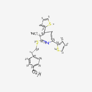 N#Cc1c(-c2cccs2)cc(-c2cccs2)nc1SCCc1ccc(C(=O)O)cc1